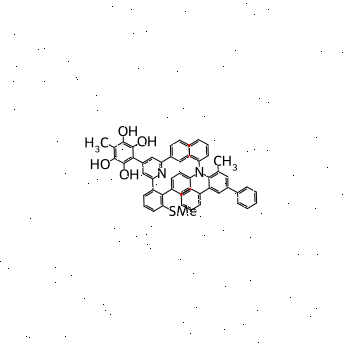 CSc1cccc(-c2cc(-c3c(O)c(O)c(C)c(O)c3O)cc(-c3ccccc3)n2)c1-c1ccc(N(c2ccccc2)c2c(C)cc(-c3ccccc3)cc2-c2ccccc2)cc1